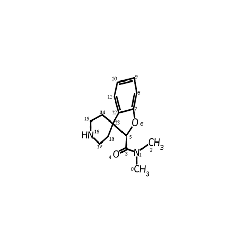 CN(C)C(=O)[C@@H]1Oc2ccccc2C12CCNCC2